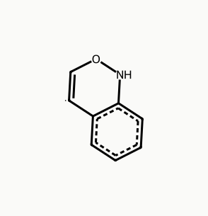 [C]1=CONc2ccccc21